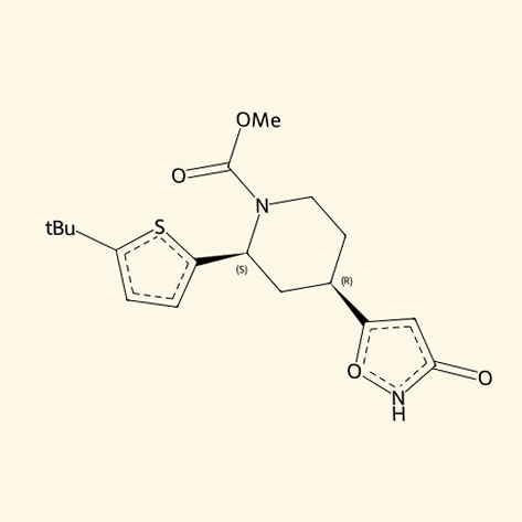 COC(=O)N1CC[C@@H](c2cc(=O)[nH]o2)C[C@H]1c1ccc(C(C)(C)C)s1